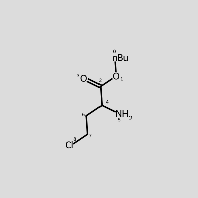 CCCCOC(=O)C(N)CCCl